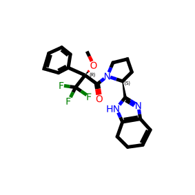 CO[C@@](C(=O)N1CCC[C@H]1c1nc2c([nH]1)CCC=C2)(c1ccccc1)C(F)(F)F